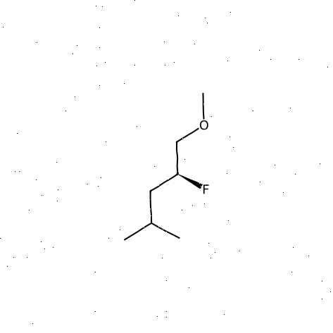 COC[C@@H](F)CC(C)C